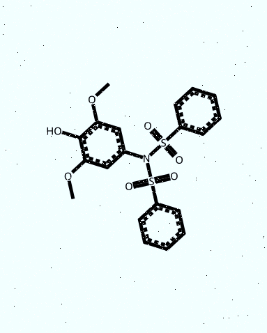 COc1cc(N(S(=O)(=O)c2ccccc2)S(=O)(=O)c2ccccc2)cc(OC)c1O